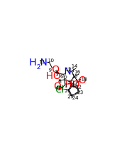 CCC1(C(=O)O)C(COCCN)N=C(C)C(C)(C(=O)O)C1c1ccccc1Cl